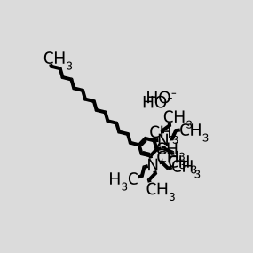 CCCCCCCCCCCCCCCCC1=CC(C)([N+](CCC)(CCC)CCC)C(C)(C)C([N+](CCC)(CCC)CCC)=C1.[OH-].[OH-]